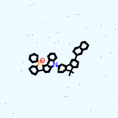 CC1(C)c2ccc(-c3ccc4ccccc4c3)cc2-c2cc(-n3c4ccccc4c4c5c(ccc43)-c3ccccc3P5(=O)c3ccccc3)ccc21